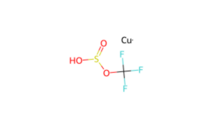 O=S(O)OC(F)(F)F.[Cu]